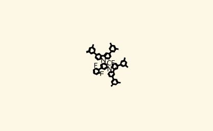 Cc1cc(C)cc(-c2ccc3c(c2)c2cc(-c4cc(C)cc(C)c4)ccc2n3-c2cc(-c3c(F)cccc3F)cc(-n3c4ccc(-c5cc(C)cc(C)c5)cc4c4cc(-c5cc(C)cc(C)c5)ccc43)c2C(F)(F)F)c1